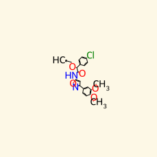 C#CCOC(C(=O)Nc1cc(-c2ccc(OC)c(OC)c2)no1)c1ccc(Cl)cc1